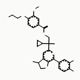 COc1cc(C(=O)NCC(C)(c2cc3c(c(-c4ccc(F)c(Cl)c4)n2)OCC3C)C2CC2)ccc1OCCO